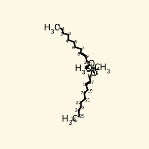 CCCCCCCCC=CCO[Si](C)(C)OCC=CCCCCCCCC